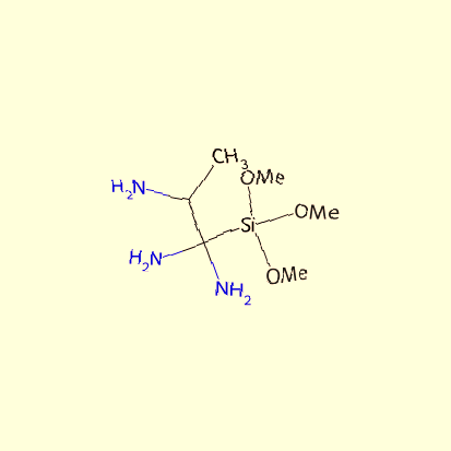 CO[Si](OC)(OC)C(N)(N)C(C)N